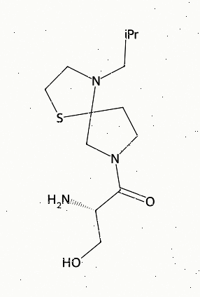 CC(C)CN1CCSC12CCN(C(=O)[C@@H](N)CO)C2